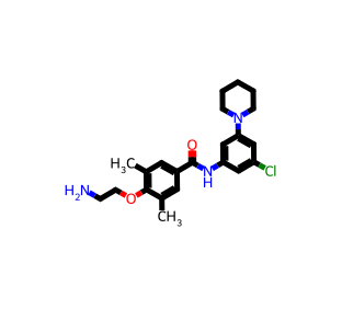 Cc1cc(C(=O)Nc2cc(Cl)cc(N3CCCCC3)c2)cc(C)c1OCCN